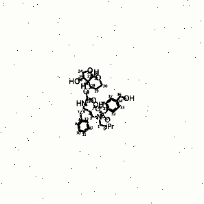 CC(C)CN(C[C@@H](O)[C@H](Cc1ccccc1)NC(=O)O[C@H]1CCO[C@H]2OC[C@H](O)[C@H]21)S(=O)(=O)c1ccc(CO)cc1